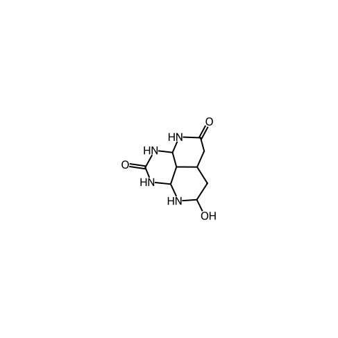 O=C1CC2CC(O)NC3NC(=O)NC(N1)C23